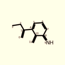 C=C(CC)C1=CC=CC(=N)C1=C